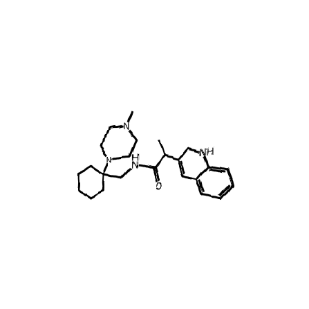 CC(C(=O)NCC1(N2CCN(C)CC2)CCCCC1)C1=Cc2ccccc2NC1